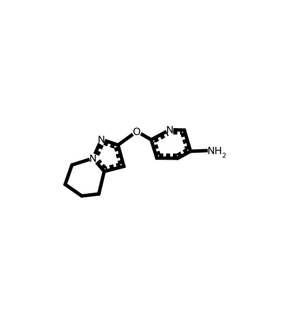 Nc1ccc(Oc2cc3n(n2)CCCC3)nc1